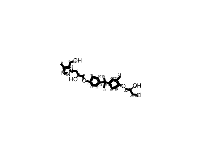 Cc1nnn(C[C@@H](O)COc2ccc(C(C)(C)c3ccc(OC[C@@H](O)CCl)c(I)c3)cc2)c1CO